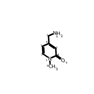 Cn1ccc(CN)cc1=O